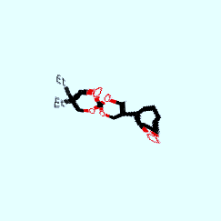 CCC1(CC)COC2(OCC(C3CCC4OC43)CO2)OC1